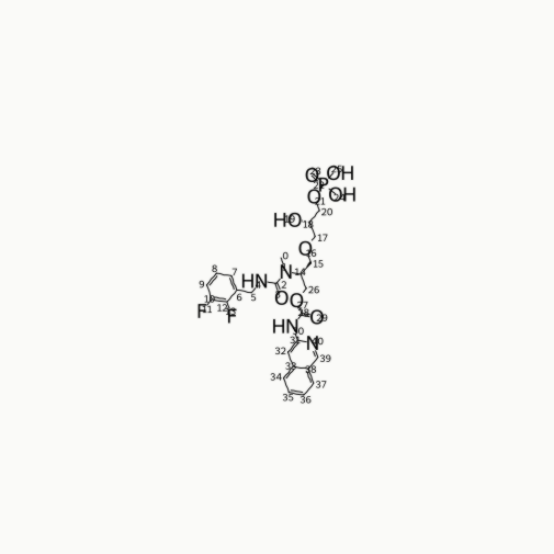 CN(C(=O)NCc1cccc(F)c1F)[C@@H](COC[C@H](O)COP(=O)(O)O)COC(=O)Nc1cc2ccccc2cn1